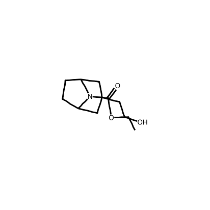 CCOC(=O)N1C2CCC1CC(CCO)C2